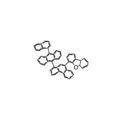 C1=CC2Oc3c(-c4cc5c(-c6c7ccccc7c(-c7cccc8ccccc78)c7ccccc67)cccc5c5ccccc45)cccc3C2C=C1